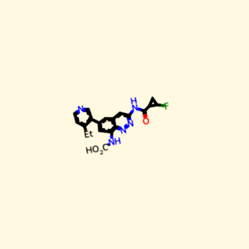 CCc1ccncc1-c1cc(NC(=O)O)c2nnc(NC(=O)C3CC3F)cc2c1